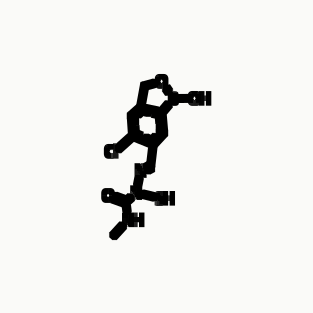 CNC(=O)N(S)N=Cc1cc2c(cc1Cl)COB2O